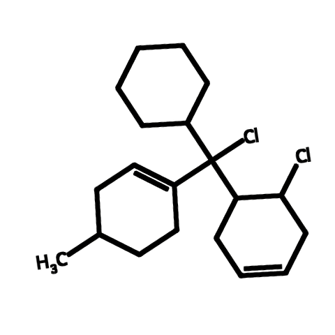 CC1CC=C(C(Cl)(C2CCCCC2)C2CC=CCC2Cl)CC1